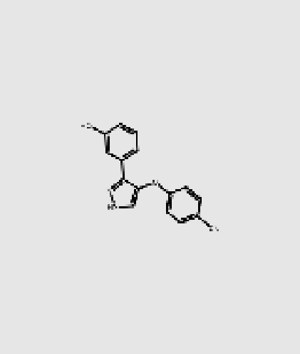 N#Cc1ccc(Oc2c[nH]nc2-c2cccc(O)c2)cc1